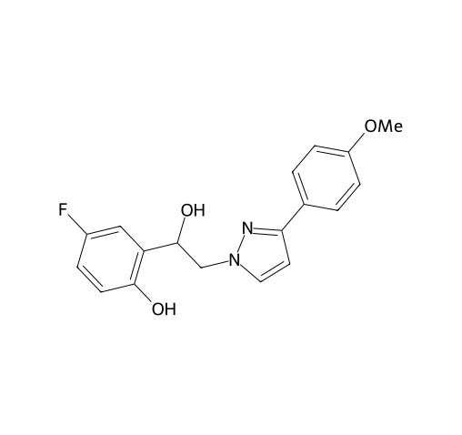 COc1ccc(-c2ccn(CC(O)c3cc(F)ccc3O)n2)cc1